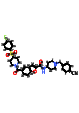 N#Cc1ccc(CN2CCC(NC(=O)c3cc4cc(C(=O)N5CCC(S(=O)(=O)c6ccc(F)cc6)CC5)ccc4o3)CC2)cc1